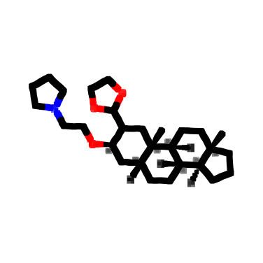 C[C@@]12CCC[C@H]1[C@@H]1CC[C@@H]3C[C@@H](OCCN4CCCC4)C(C4OCCO4)C[C@]3(C)[C@H]1CC2